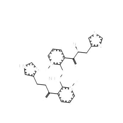 N[C@@H](Cc1c[nH]cn1)C(=O)c1ccc[n+]([O-])c1SSc1c(C(=O)[C@@H](N)Cc2c[nH]cn2)ccc[n+]1[O-]